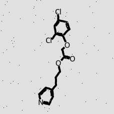 O=C(COc1ccc(Cl)cc1Cl)OCCCc1ccncc1